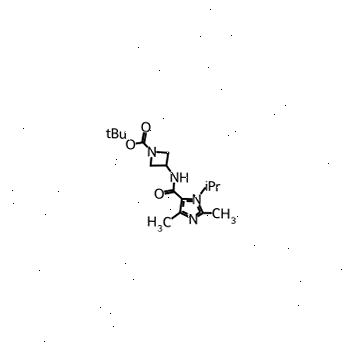 Cc1nc(C)n(C(C)C)c1C(=O)NC1CN(C(=O)OC(C)(C)C)C1